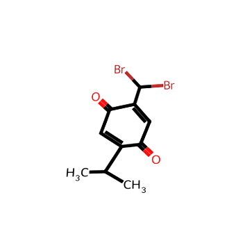 CC(C)C1=CC(=O)C(C(Br)Br)=CC1=O